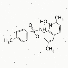 Cc1ccc(S(=O)(=O)Nc2cc(C)cc3c2N(O)C(C)C=C3)cc1